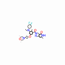 CCN(c1cc(O[C@H]2C[C@H](N3C[C@@H](C)O[C@@H](C)C3)C2)cc(C(=O)NCc2c(C)cc(C)[nH]c2=O)c1C)C1CCC(F)(F)CC1